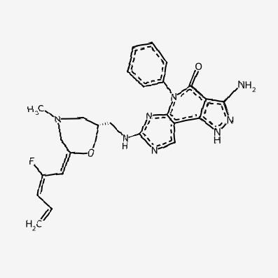 C=C/C=C(F)\C=C1/CN(C)C[C@H](CNc2ncc3c4[nH]nc(N)c4c(=O)n(-c4ccccc4)c3n2)O1